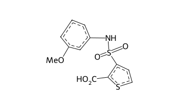 COc1cccc(NS(=O)(=O)c2ccsc2C(=O)O)c1